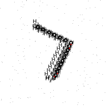 Cc1ccccc1.Cc1ccccc1.Cc1ccccc1.Cc1ccccc1.Cc1ccccc1.Cc1ccccc1.Cc1ccccc1.Cc1ccccc1.Cc1ccccc1.Cc1ccccc1.Cc1ccccc1.Cc1ccccc1.Cc1ccccc1.Cc1ccccc1.Cc1ccccc1.Cc1ccccc1.O.O